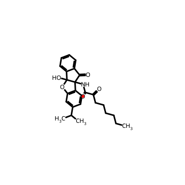 CCCCCCC(=O)C(=O)NC12C(=O)c3ccccc3C1(O)Oc1cc(C(C)C)ccc12